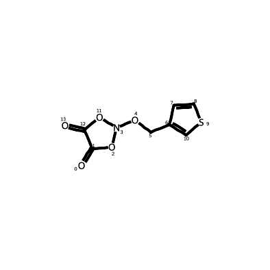 O=c1on(OCc2ccsc2)oc1=O